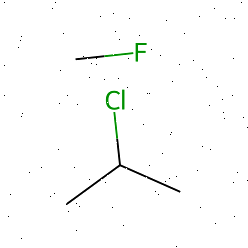 CC(C)Cl.CF